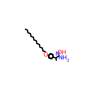 CCCCCCCCCCCCCCOc1ccc(C(C)C(N)=NO)cc1